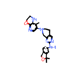 Cc1c(N2CCc3cnc(Nc4ccc5c(c4)C(C)(C)OC5)nc3C2)cnc2c1NCCO2